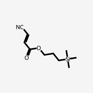 C[Si](C)(C)CCCOC(=O)C=CC#N